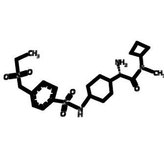 CCS(=O)(=O)Cc1ccc(S(=O)(=O)NC2CCC([C@H](N)C(=O)N(C)C3CCC3)CC2)cc1